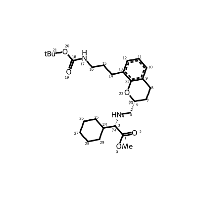 COC(=O)[C@@H](NC[C@H]1CCc2cccc(CCCNC(=O)OC(C)(C)C)c2O1)C1CCCCC1